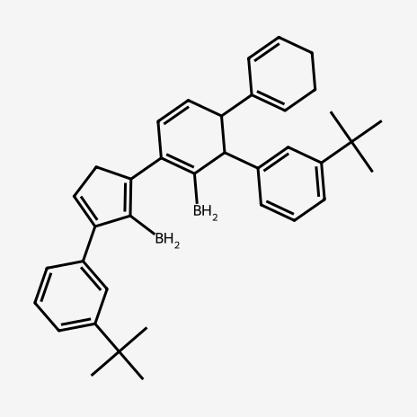 BC1=C(C2=C(B)C(c3cccc(C(C)(C)C)c3)C(C3=CCCC=C3)C=C2)CC=C1c1cccc(C(C)(C)C)c1